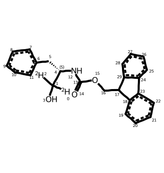 [2H]C([2H])(O)[C@H](Cc1ccccc1)NC(=O)OCC1c2ccccc2-c2ccccc21